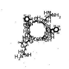 CC(=O)N[C@@H](CCCNC(=N)N)C(=O)N[C@H]1CCSSC(C)(C)[C@@H](C(=O)O)NC(=O)[C@H](Cc2c[nH]c3ccccc23)NC(=O)[C@H](CCCNC(=N)N)NC(=O)[C@@H](Cc2ccccc2)NC(=O)[C@H](CO)NC1=O